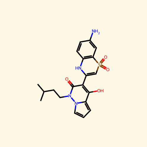 CC(C)CCn1c(=O)c(C2=CS(=O)(=O)c3cc(N)ccc3N2)c(O)c2cccn21